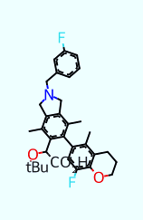 Cc1c(-c2c(C)c3c(c(C)c2C(OC(C)(C)C)C(=O)O)CN(Cc2cccc(F)c2)C3)cc(F)c2c1CCCO2